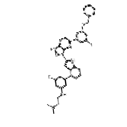 CN(C)CCNc1cc(F)cc(-c2cccc3[nH]c(-c4n[nH]c5ccc(-c6cc(I)cc(OCc7ccccc7)c6)nc45)cc23)c1